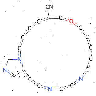 N#Cc1ccccn2c(ccnccncccccoc1)C=NC2